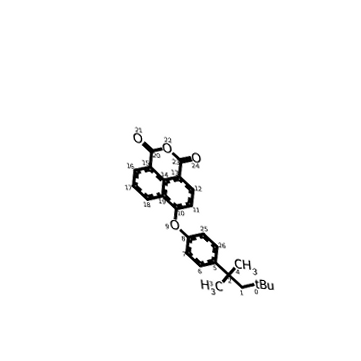 CC(C)(C)CC(C)(C)c1ccc(Oc2ccc3c4c(cccc24)C(=O)OC3=O)cc1